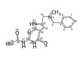 CN(Cc1ccccc1)Cc1cc2c(=O)[nH]c(NC(=O)C(C)(C)C)nc2[nH]1